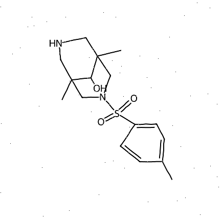 Cc1ccc(S(=O)(=O)N2CC3(C)CNCC(C)(C2)C3O)cc1